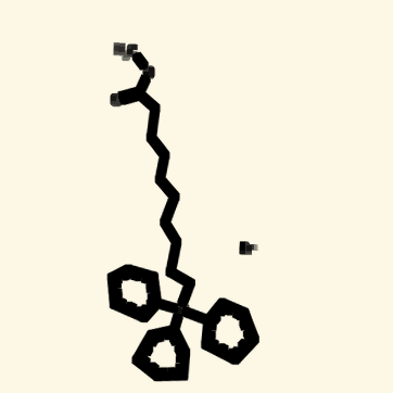 COC(=O)CCCCCCCCC[P+](c1ccccc1)(c1ccccc1)c1ccccc1.[Br-]